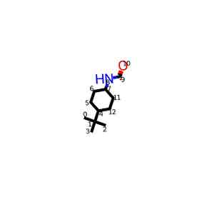 CC(C)(C)C1CCC(N[C]=O)CC1